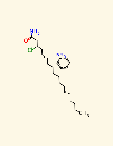 CCCCCCCCCCCCCCCC(Cl)CC(N)=O.N.c1ccccc1